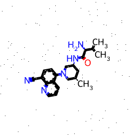 CC(C)[C@H](N)C(=O)N[C@@H]1C[C@H](C)CN(c2ccc(C#N)c3ncccc23)C1